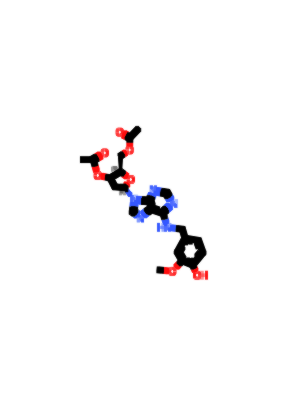 COc1cc(CNc2ncnc3c2ncn3[C@H]2CC(OC(C)=O)[C@@H](COC(C)=O)O2)ccc1O